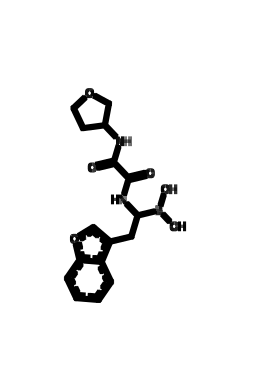 O=C(NC1CCOC1)C(=O)NC(Cc1coc2ccccc12)B(O)O